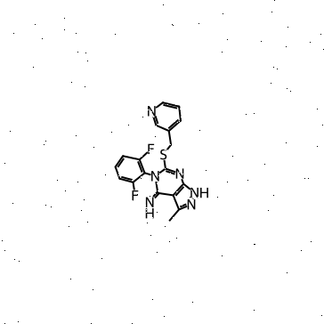 Cc1n[nH]c2nc(SCc3cccnc3)n(-c3c(F)cccc3F)c(=N)c12